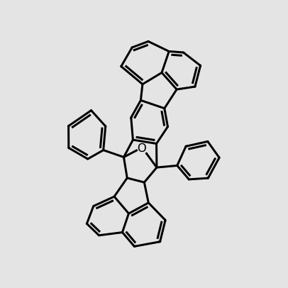 c1ccc(C23OC(c4ccccc4)(c4cc5c(cc42)-c2cccc4cccc-5c24)C2c4cccc5cccc(c45)C23)cc1